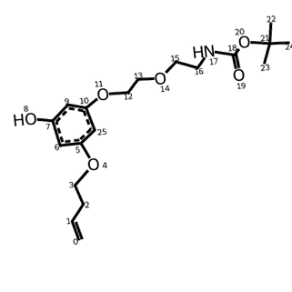 C=CCCOc1cc(O)cc(OCCOCCNC(=O)OC(C)(C)C)c1